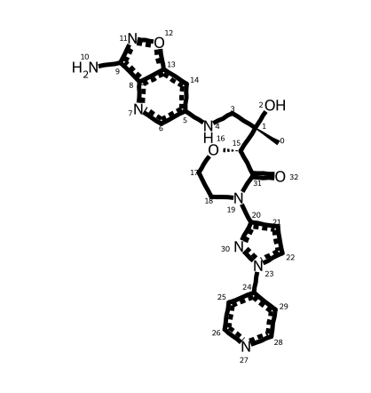 C[C@](O)(CNc1cnc2c(N)noc2c1)[C@H]1OCCN(c2ccn(-c3ccncc3)n2)C1=O